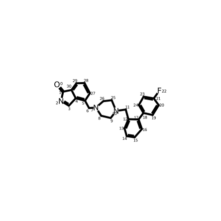 O=C1N=Cc2c(CN3CCN(Cc4ccccc4-c4ccc(F)cc4)CC3)cccc21